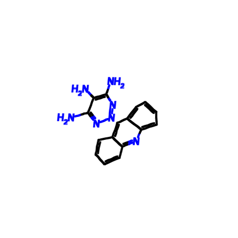 Nc1nnnc(N)c1N.c1ccc2nc3ccccc3cc2c1